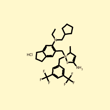 CCN(CC1CCCC1)c1cc2c(cc1C[N+]1(Cc3cc(C(F)(F)F)cc(C(F)(F)F)c3)SC(N)=CC1C)CCC2.Cl